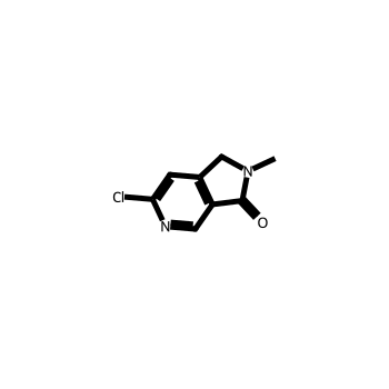 CN1Cc2cc(Cl)ncc2C1=O